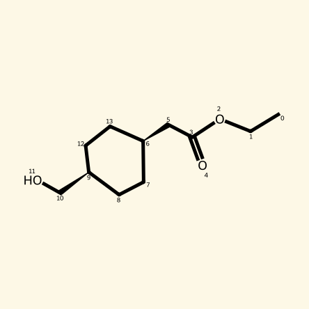 CCOC(=O)C[C@H]1CC[C@@H](CO)CC1